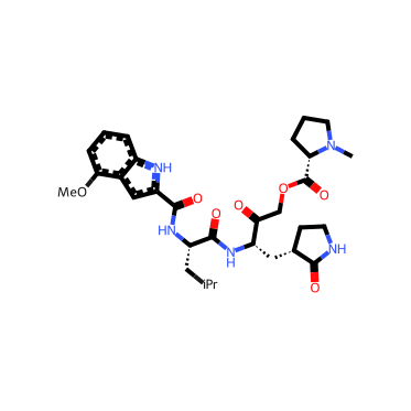 COc1cccc2[nH]c(C(=O)N[C@@H](CC(C)C)C(=O)N[C@@H](C[C@@H]3CCNC3=O)C(=O)COC(=O)[C@@H]3CCCN3C)cc12